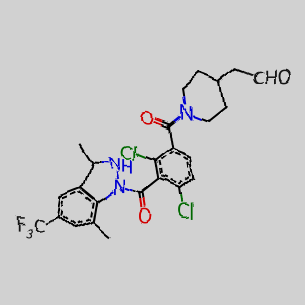 Cc1cc(C(F)(F)F)cc2c1N(C(=O)c1c(Cl)ccc(C(=O)N3CCC(CC=O)CC3)c1Cl)NC2C